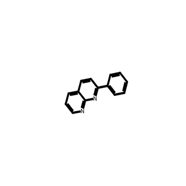 c1ccc(-c2ccc3cccnc3n2)cc1